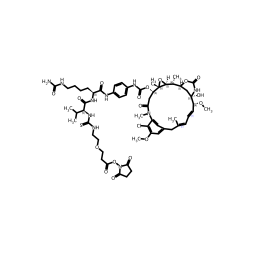 COc1cc2cc(c1Cl)N(C)C(=O)C[C@H](OC(=O)Nc1ccc(NC(=O)[C@H](CCCCNC(N)=O)NC(=O)[C@@H](NC(=S)NCCOCCC(=O)ON3C(=O)CCC3=O)C(C)C)cc1)[C@]1(C)O[C@H]1[C@H](C)[C@@H]1C[C@@](O)(NC(=O)O1)[C@H](OC)/C=C/C=C(\C)C2